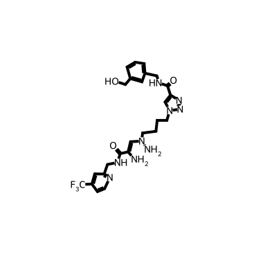 N/C(=C\N(N)CCCCn1cc(C(=O)NCc2cccc(CO)c2)nn1)C(=O)NCc1cc(C(F)(F)F)ccn1